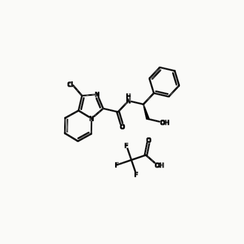 O=C(N[C@H](CO)c1ccccc1)c1nc(Cl)c2ccccn12.O=C(O)C(F)(F)F